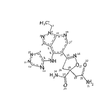 CCn1ncc2c(Nc3cnncn3)c(C3=NOC(CC(N)=O)(C(N)=O)C3)cnc21